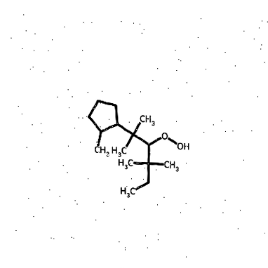 CCC(C)(C)C(OO)C(C)(C)C1CCCC1C